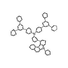 C1=CC(c2cc(-c3ccccc3)cc(-c3ccc(N(c4ccc(-c5cc(-c6ccccc6)cc(-c6ccccc6)c5)cc4)c4cccc(-c5cccc6c5c5c7ccccc7ccc5n6-c5ccccc5)c4)cc3)c2)=CCC1